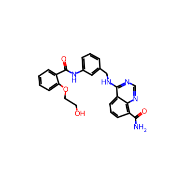 NC(=O)c1cccc2c(NCc3cccc(NC(=O)c4ccccc4OCCO)c3)ncnc12